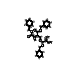 CC(C)N(C(C)C)P(OCc1ccccc1)OCC(NC(=O)OCc1ccccc1)C(=O)OCc1ccccc1